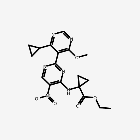 CCOC(=O)C1(Nc2nc(-c3c(OC)ncnc3C3CC3)ncc2[N+](=O)[O-])CC1